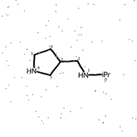 CC(C)NCC1CCNC1